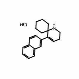 C1=C(c2ccc3ccccc3c2)C2(CCCCC2)NCC1.Cl